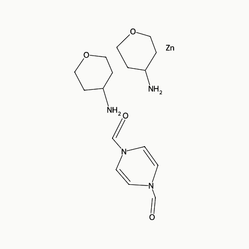 NC1CCOCC1.NC1CCOCC1.O=CN1C=CN(C=O)C=C1.[Zn]